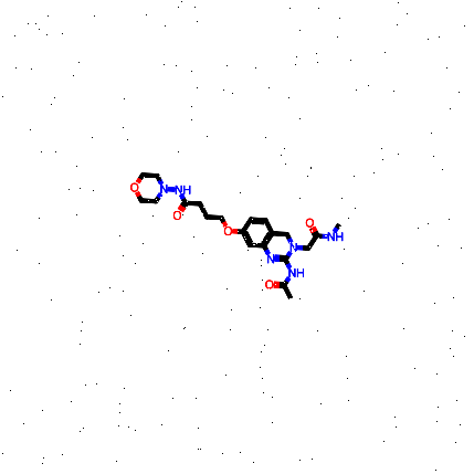 CNC(=O)CN1Cc2ccc(OCCCC(=O)NN3CCOCC3)cc2N=C1NC(C)=O